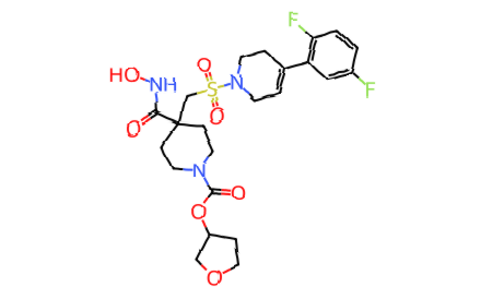 O=C(OC1CCOC1)N1CCC(CS(=O)(=O)N2CC=C(c3cc(F)ccc3F)CC2)(C(=O)NO)CC1